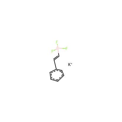 F[B-](F)(F)C=Cc1ccccc1.[K+]